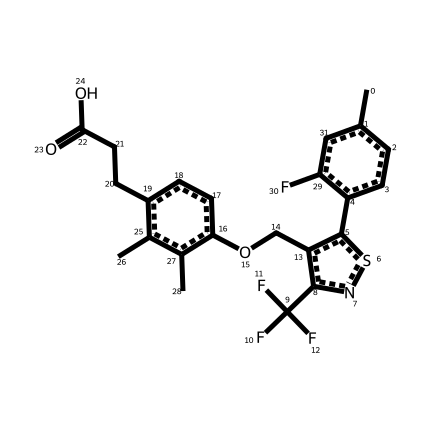 Cc1ccc(-c2snc(C(F)(F)F)c2COc2ccc(CCC(=O)O)c(C)c2C)c(F)c1